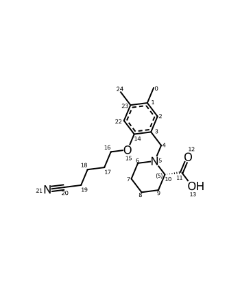 Cc1cc(CN2CCCC[C@H]2C(=O)O)c(OCCCCC#N)cc1C